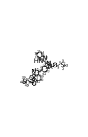 C[Si](C)(C)CCOCn1nc(-c2nc3ccccc3[nH]2)c2cc(-c3cncc4c3CCCN4S(=O)(=O)CC[Si](C)(C)C)ccc21